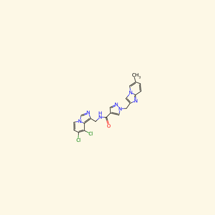 Cc1ccc2nc(Cn3cc(C(=O)NCc4ncn5ccc(Cl)c(Cl)c45)cn3)cn2c1